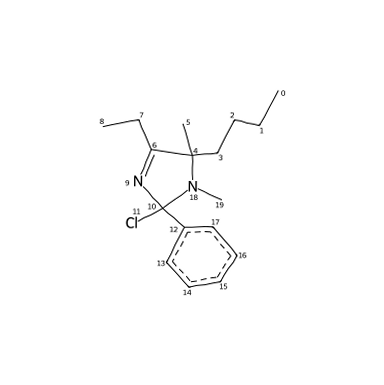 CCCCC1(C)C(CC)=NC(Cl)(c2ccccc2)N1C